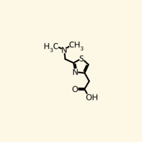 CN(C)Cc1nc(CC(=O)O)cs1